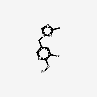 CCOc1ncc(Cn2cnc(C)n2)cc1Br